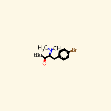 CN(C)C(Cc1ccc(Br)cc1)C(=O)C(C)(C)C